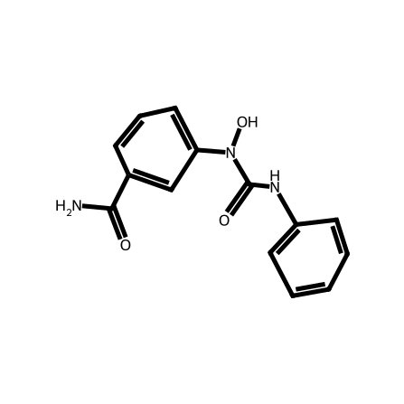 NC(=O)c1cccc(N(O)C(=O)Nc2ccccc2)c1